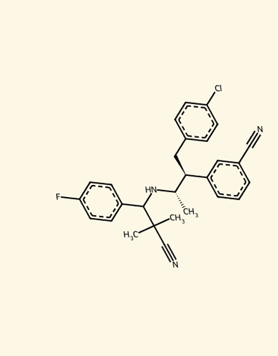 C[C@H](NC(c1ccc(F)cc1)C(C)(C)C#N)[C@@H](Cc1ccc(Cl)cc1)c1cccc(C#N)c1